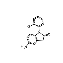 Nc1ccc2c(c1)CC(=O)N2c1ccccc1Cl